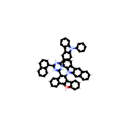 c1ccc(-n2c3ccccc3c3cc(-c4nc(-c5cccc6ccccc56)nc(-c5c(-n6c7ccccc7c7cc8ccccc8cc76)c6c7ccccc7oc6c6ccccc56)n4)ccc32)cc1